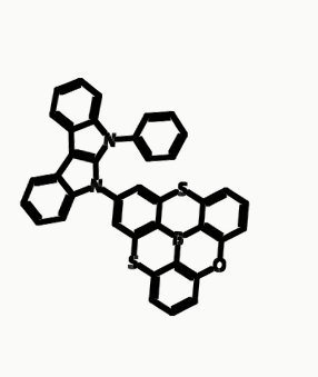 c1ccc(-n2c3ccccc3c3c4ccccc4n(-c4cc5c6c(c4)Sc4cccc7c4B6c4c(cccc4S5)O7)c32)cc1